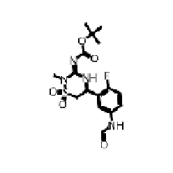 CN1C(=NC(=O)OC(C)(C)C)NC(c2cc(NC=O)ccc2F)CS1(=O)=O